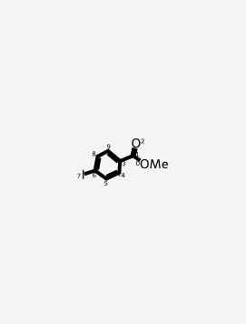 COC(=O)c1[c]cc(I)cc1